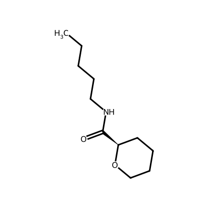 CCCCCNC(=O)[C@H]1CCCCO1